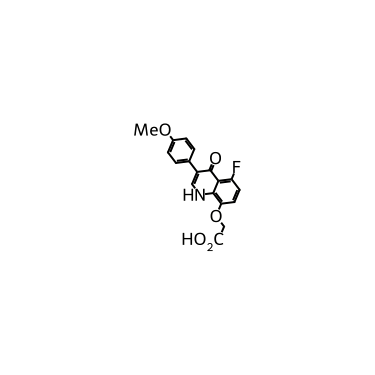 COc1ccc(-c2c[nH]c3c(OCC(=O)O)ccc(F)c3c2=O)cc1